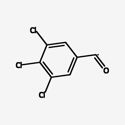 O=[C]c1cc(Cl)c(Cl)c(Cl)c1